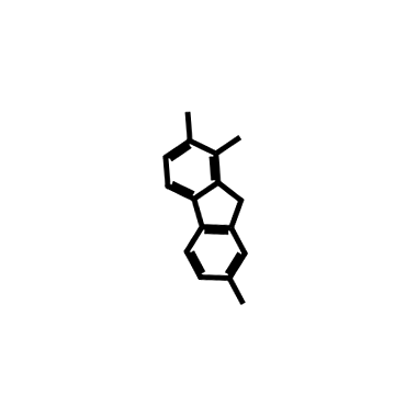 Cc1ccc2c(c1)Cc1c-2ccc(C)c1C